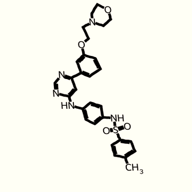 Cc1ccc(S(=O)(=O)Nc2ccc(Nc3cc(-c4cccc(OCCN5CCOCC5)c4)ncn3)cc2)cc1